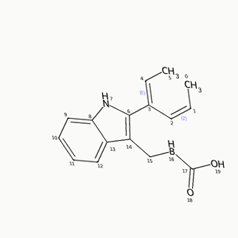 C/C=C\C(=C/C)c1[nH]c2ccccc2c1CBC(=O)O